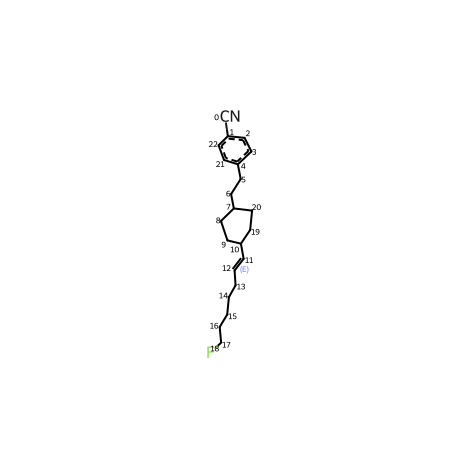 N#Cc1ccc(CCC2CCC(/C=C/CCCCCF)CC2)cc1